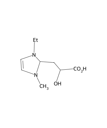 CCN1C=CN(C)C1CC(O)C(=O)O